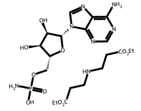 CCOC(=O)CCNCCC(=O)OCC.Nc1ncnc2c1ncn2[C@@H]1O[C@H](COP(N)(=O)O)[C@@H](O)[C@H]1O